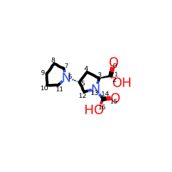 O=C(O)[C@@H]1C[C@@H](N2CCCCC2)CN1C(=O)O